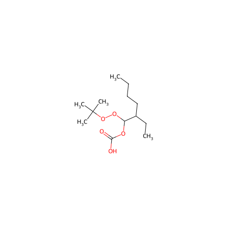 CCCCC(CC)C(OOC(C)(C)C)OC(=O)O